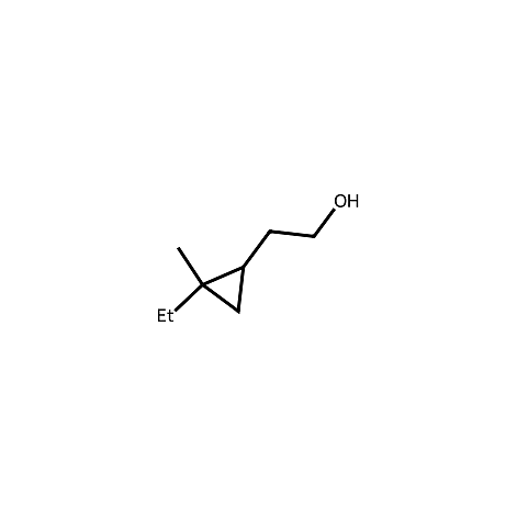 CCC1(C)CC1CCO